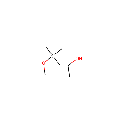 CCO.CO[Si](C)(C)C